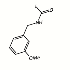 COc1cccc(CNC(=O)I)c1